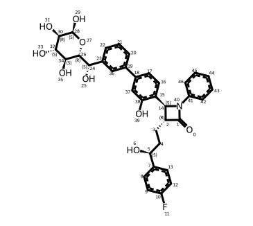 O=C1[C@H](CC[C@H](O)c2ccc(F)cc2)[C@@H](c2ccc(-c3cccc([C@H](O)[C@H]4O[C@H](O)[C@H](O)[C@@H](O)[C@@H]4O)c3)cc2O)N1c1ccccc1